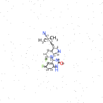 CC(C)(C#N)C#Cc1cncc2c1CCCN2c1nc(=O)[nH]c2ccc(F)c(F)c12